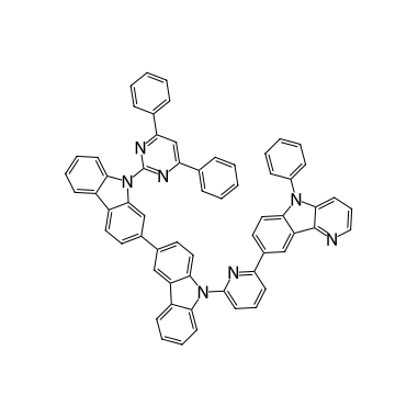 c1ccc(-c2cc(-c3ccccc3)nc(-n3c4ccccc4c4ccc(-c5ccc6c(c5)c5ccccc5n6-c5cccc(-c6ccc7c(c6)c6ncccc6n7-c6ccccc6)n5)cc43)n2)cc1